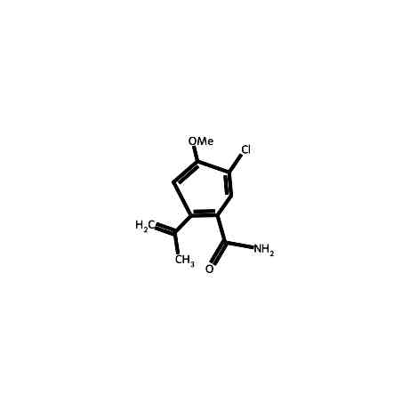 C=C(C)c1cc(OC)c(Cl)cc1C(N)=O